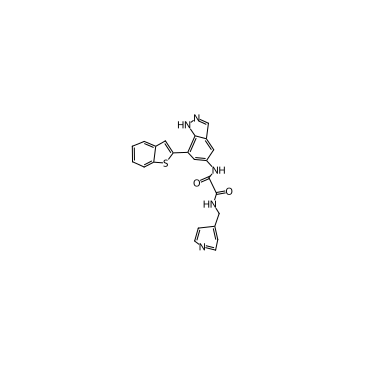 O=C(NCc1ccncc1)C(=O)Nc1cc(-c2cc3ccccc3s2)c2[nH]ncc2c1